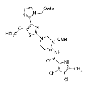 COCn1ccnc1-c1nc(N2CC[C@@H](NC(=O)c3[nH]c(C)c(Cl)c3Cl)[C@@H](OC)C2)sc1OC(=O)O